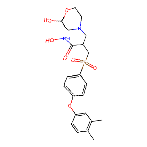 Cc1ccc(Oc2ccc(S(=O)(=O)CC(CN3CCOC(O)C3)C(=O)NO)cc2)cc1C